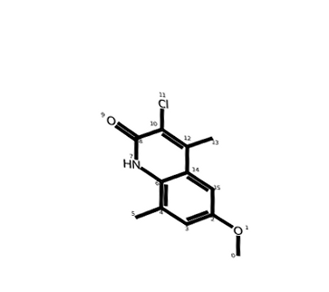 COc1cc(C)c2[nH]c(=O)c(Cl)c(C)c2c1